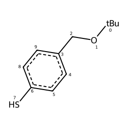 CC(C)(C)OCc1ccc(S)cc1